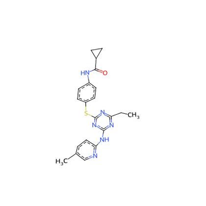 CCc1nc(Nc2ccc(C)cn2)nc(Sc2ccc(NC(=O)C3CC3)cc2)n1